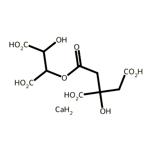 O=C(O)CC(O)(CC(=O)OC(C(=O)O)C(O)C(=O)O)C(=O)O.[CaH2]